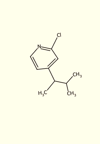 CC(C)C(C)c1ccnc(Cl)c1